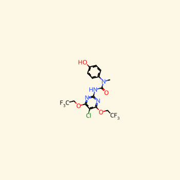 CN(C(=O)Nc1nc(OCC(F)(F)F)c(Cl)c(OCC(F)(F)F)n1)c1ccc(O)cc1